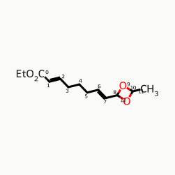 CCOC(=O)/C=C/CCC/C=C/C1OC(C)O1